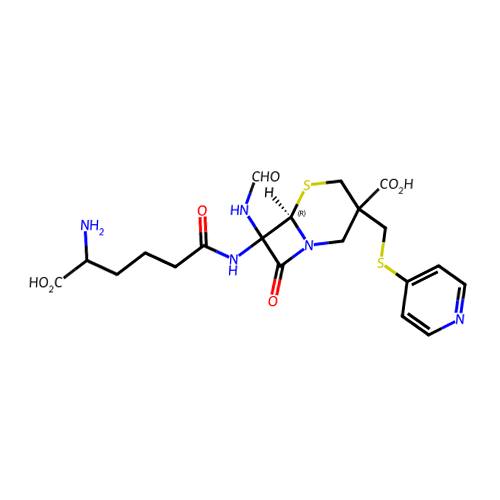 NC(CCCC(=O)NC1(NC=O)C(=O)N2CC(CSc3ccncc3)(C(=O)O)CS[C@@H]21)C(=O)O